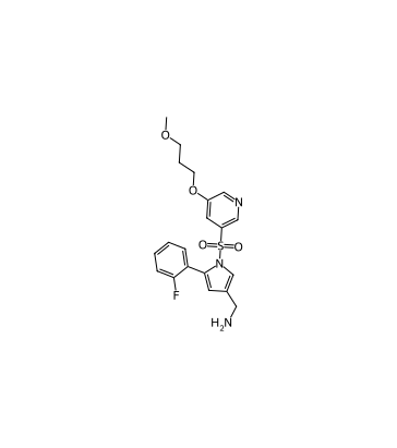 COCCCOc1cncc(S(=O)(=O)n2cc(CN)cc2-c2ccccc2F)c1